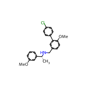 COc1cccc([C@@H](C)NCc2ccc(OC)c(-c3ccc(Cl)cc3)c2)c1